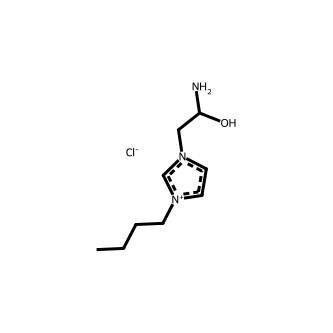 CCCC[n+]1ccn(CC(N)O)c1.[Cl-]